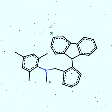 Cc1cc(C)c([N]([Ti+2])Cc2ccccc2C2c3ccccc3-c3ccccc32)c(C)c1.[Cl-].[Cl-]